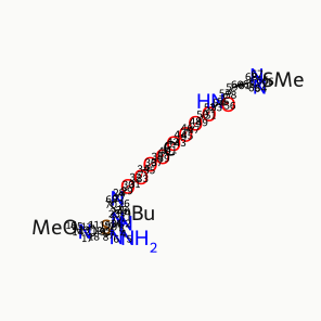 CCCCc1nc2c(N)nc3cc(C4CCN(CCOC)CC4)sc3c2n1CC1CCN(CCOCCOCCOCCOCCOCCOCCOCCOCCNC(=O)CCCC#Cc2cnc(SC)nc2)CC1